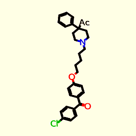 CC(=O)C1(c2ccccc2)CCN(CCCCCOc2ccc(C(=O)c3ccc(Cl)cc3)cc2)CC1